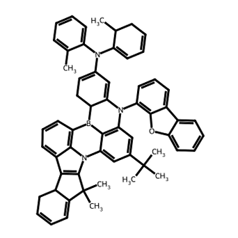 Cc1ccccc1N(C1=CCC2B3c4c(cc(C(C)(C)C)cc4-n4c5c(c6cccc3c64)C3CC=CC=C3C5(C)C)N(c3cccc4c3oc3ccccc34)C2=C1)C1=CC=CCC1C